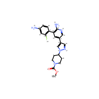 CC(C)(C)OC(=O)N1CCC(n2cc(-c3cnc(N)c(-c4ccc(N)cc4F)c3)cn2)CC1